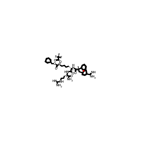 C[C@@](Cc1ccc(C(=N)N)cc1)(C(=O)N[C@@H](CCCCN(OC(=O)C(F)(F)F)C(=O)OCc1ccccc1)C(=O)N[C@@H](CCCNC(=N)N)C(N)=O)c1ccccc1